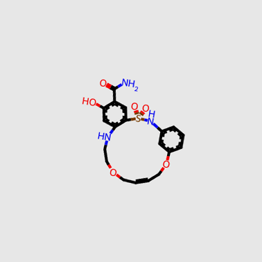 NC(=O)c1cc2c(cc1O)NCCOC/C=C\COc1cccc(c1)NS2(=O)=O